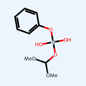 COC(OC)[O][Ti]([OH])([OH])[O]c1ccccc1